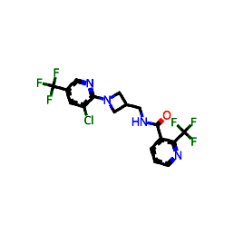 O=C(NCC1CN(c2ncc(C(F)(F)F)cc2Cl)C1)c1cccnc1C(F)(F)F